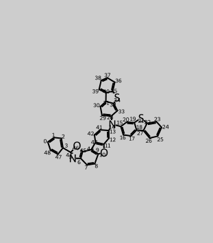 c1ccc(-c2nc3ccc4oc5cc(N(c6ccc7c(c6)sc6ccccc67)c6ccc7c(c6)sc6ccccc67)ccc5c4c3o2)cc1